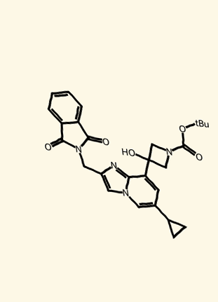 CC(C)(C)OC(=O)N1CC(O)(c2cc(C3CC3)cn3cc(CN4C(=O)c5ccccc5C4=O)nc23)C1